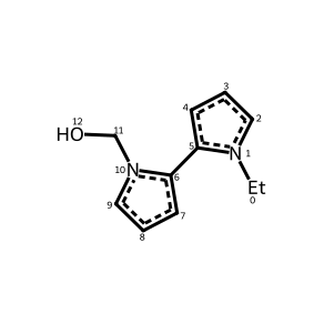 CCn1cccc1-c1cccn1CO